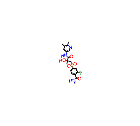 CNC(=O)c1ccc(S(=O)(=O)CC(C)(O)C(=O)Nc2cnc(C)c(C)c2)cc1F